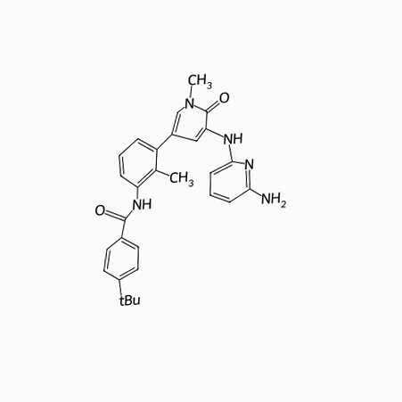 Cc1c(NC(=O)c2ccc(C(C)(C)C)cc2)cccc1-c1cc(Nc2cccc(N)n2)c(=O)n(C)c1